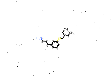 CCC(CC)CSc1cccc(CCCN)c1